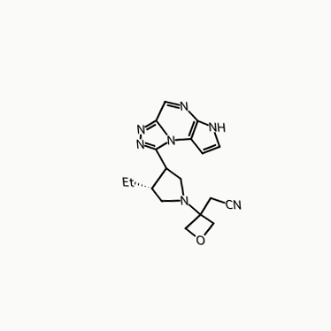 CC[C@H]1CN(C2(CC#N)COC2)CC1c1nnc2cnc3[nH]ccc3n12